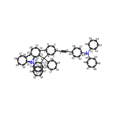 C(#Cc1ccc2c(c1)C(c1ccccc1)(c1ccccc1)c1c-2ccc2c3ccccc3n(-c3ccccc3)c12)c1ccc(N(c2ccccc2)c2ccccc2)cc1